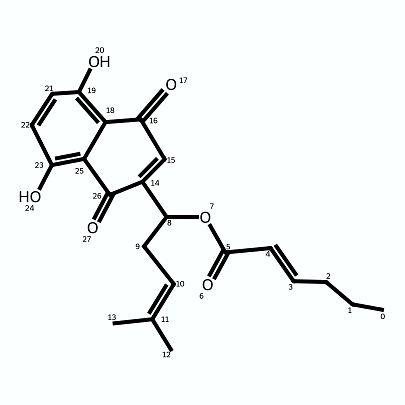 CCC/C=C/C(=O)OC(CC=C(C)C)C1=CC(=O)c2c(O)ccc(O)c2C1=O